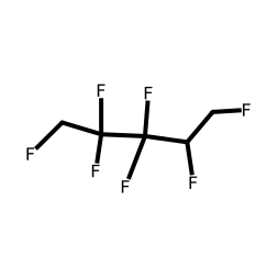 FCC(F)C(F)(F)C(F)(F)CF